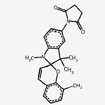 Cc1cccc2c1OC1(C=C2)N(C)c2ccc(N3C(=O)CCC3=O)cc2C1(C)C